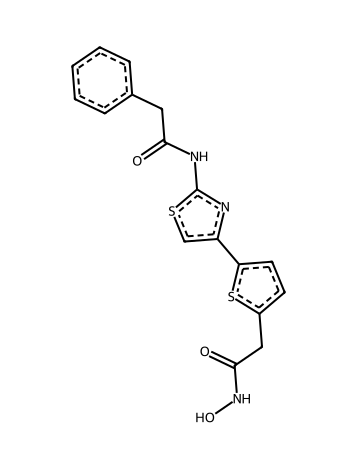 O=C(Cc1ccc(-c2csc(NC(=O)Cc3ccccc3)n2)s1)NO